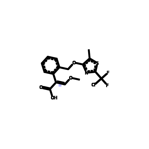 CO/C=C(/C(=O)O)c1ccccc1COc1nc(C(F)(F)Cl)sc1C